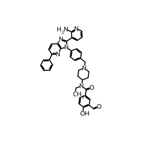 CCN(C(=O)c1ccc(O)c(C=O)c1)C1CCN(Cc2ccc(-n3c(-c4cccnc4N)nc4ccc(-c5ccccc5)nc43)cc2)CC1